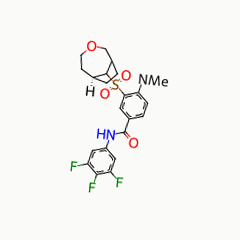 CNc1ccc(C(=O)Nc2cc(F)c(F)c(F)c2)cc1S(=O)(=O)C1C2CC[C@H]1CCOC2